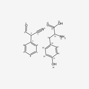 N#CC(C=O)c1ccccc1.NC(Cc1ccc(O)cc1)C(=O)O